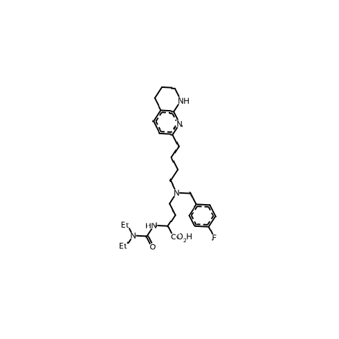 CCN(CC)C(=O)NC(CCN(CCCCc1ccc2c(n1)NCCC2)Cc1ccc(F)cc1)C(=O)O